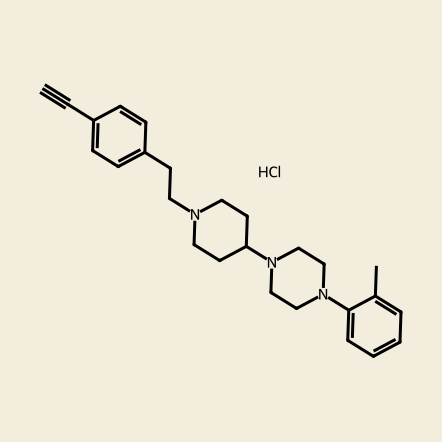 C#Cc1ccc(CCN2CCC(N3CCN(c4ccccc4C)CC3)CC2)cc1.Cl